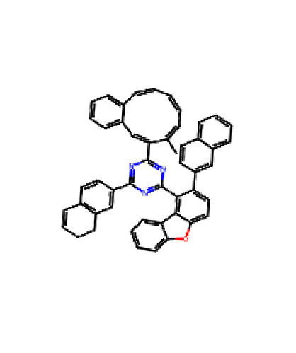 Cc1cccccc2ccccc2cc1-c1nc(-c2ccc3c(c2)CCC=C3)nc(-c2c(-c3ccc4ccccc4c3)ccc3oc4ccccc4c23)n1